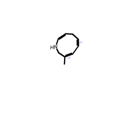 C/C1=C/C=C\CC=CNC1